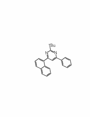 CC(C)(C)c1nc(-c2ccccc2)cc(-c2cccc3ccccc23)n1